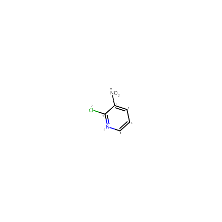 O=[N+]([O-])c1c[c]cnc1Cl